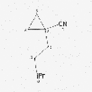 CC(C)CCC1(C#N)CC1